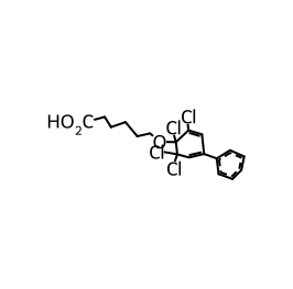 O=C(O)CCCCCOC1(Cl)C(Cl)=CC(c2ccccc2)=CC1(Cl)Cl